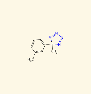 Cc1[c]ccc(C2(C)N=NN=N2)c1